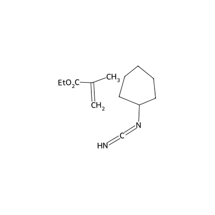 C=C(C)C(=O)OCC.N=C=NC1CCCCC1